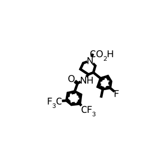 Cc1cc(C2CN(C(=O)O)CCC2NC(=O)c2cc(C(F)(F)F)cc(C(F)(F)F)c2)ccc1F